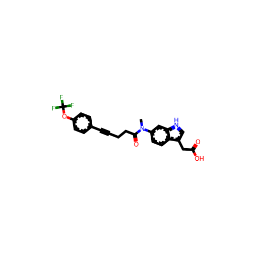 CN(C(=O)CCC#Cc1ccc(OC(F)(F)F)cc1)c1ccc2c(CC(=O)O)c[nH]c2c1